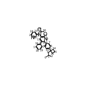 C[C](C)CC1(c2ccc(-c3nc4c(cc3-c3ccccc3)N(c3cccnc3)C(=O)CO4)cc2)CCC1